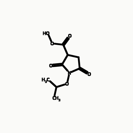 CC(C)ON1C(=O)CC(C(=O)OO)C1=O